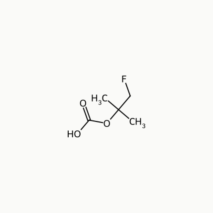 CC(C)(CF)OC(=O)O